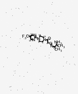 CC(=NOCC(=O)N1CCN(c2ncc(C(F)(F)F)cn2)CC1)C(C)N